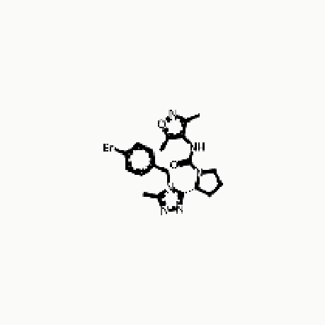 Cc1noc(C)c1NC(=O)N1CCC[C@@H]1c1nnc(C)n1Cc1ccc(Br)cc1